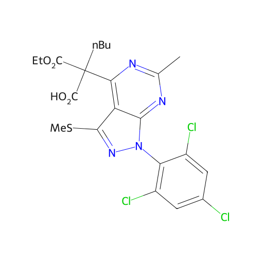 CCCCC(C(=O)O)(C(=O)OCC)c1nc(C)nc2c1c(SC)nn2-c1c(Cl)cc(Cl)cc1Cl